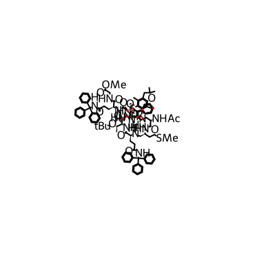 COC(=O)CNC(=O)[C@H](CCC(=O)NC(c1ccccc1)(c1ccccc1)c1ccccc1)NC(=O)[C@H](Cc1c[nH]c2ccccc12)NC(=O)[C@@H](NC(=O)[C@H](CCC(=O)NC(c1ccccc1)(c1ccccc1)c1ccccc1)NC[C@H](CCSC)NC(=O)[C@@H](CCCNC(=N)NS(=O)(=O)c1c(C)c(C)c2c(c1C)CC(C)(C)O2)NC(C)=O)[C@@H](C)OC(C)(C)C